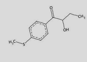 CCC(O)C(=O)c1ccc(SC)cc1